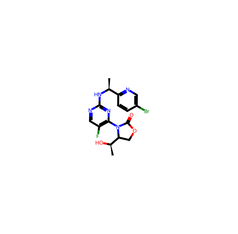 C[C@H](Nc1ncc(F)c(N2C(=O)OCC2[C@@H](C)O)n1)c1ccc(Br)cn1